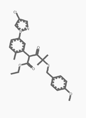 CCOC(=O)C(C(=O)C(C)(C)SCc1ccc(OC)cc1)c1cc(-n2cc(Cl)cn2)ccc1C